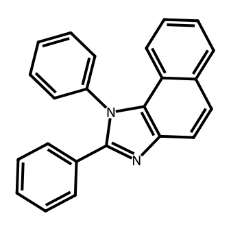 c1ccc(-c2nc3ccc4ccccc4c3n2-c2ccccc2)cc1